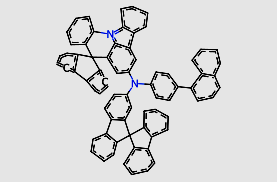 c1ccc2c(c1)-c1ccccc1C21c2ccccc2-c2ccc(N(c3ccc(-c4cccc5ccccc45)cc3)c3cc4c5c(c3)c3ccccc3n5-c3ccccc3C43c4ccccc4-c4ccccc43)cc21